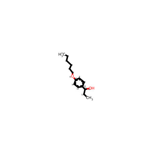 CCCCCCOc1ccc(C(O)CC)cc1